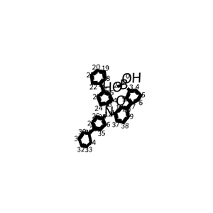 OB(O)c1cccc2c1oc1c(N(c3ccc(-c4ccccc4)cc3)c3ccc(C4C=CC=CC4)cc3)cccc12